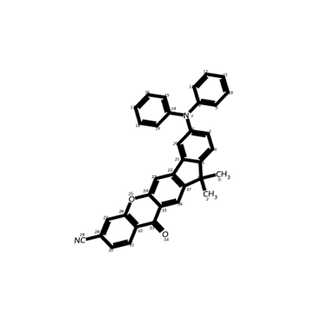 CC1(C)c2ccc(N(c3ccccc3)c3ccccc3)cc2-c2cc3oc4cc(C#N)ccc4c(=O)c3cc21